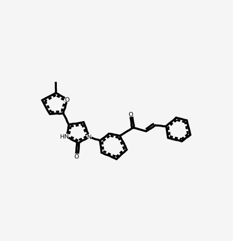 Cc1ccc(-c2cn(-c3cccc(C(=O)C=Cc4ccccc4)c3)c(=O)[nH]2)o1